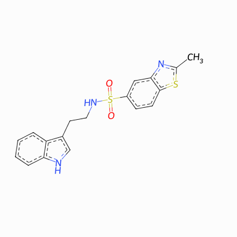 Cc1nc2cc(S(=O)(=O)NCCc3c[nH]c4ccccc34)ccc2s1